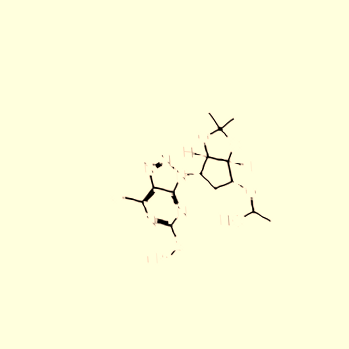 CCCSc1nc(Cl)c2nnn([C@@H]3C[C@H](OC(C)O)[C@H]4OC(C)(C)O[C@H]43)c2n1